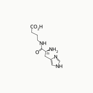 N[C@@H](Cc1c[nH]cn1)C(=O)NCCCC(=O)O